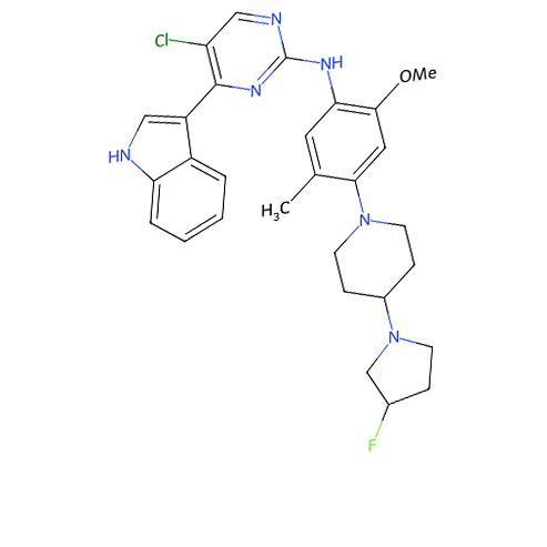 COc1cc(N2CCC(N3CCC(F)C3)CC2)c(C)cc1Nc1ncc(Cl)c(-c2c[nH]c3ccccc23)n1